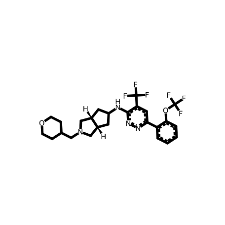 FC(F)(F)Oc1ccccc1-c1cc(C(F)(F)F)c(NC2C[C@@H]3CN(CC4CCOCC4)C[C@@H]3C2)nn1